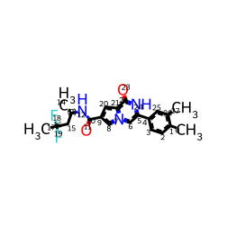 Cc1ccc(-c2cn3cc(C(=O)N[C@H](C)CC(C)(F)F)cc3c(=O)[nH]2)cc1C